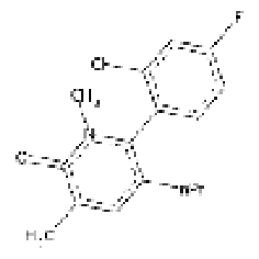 CCCc1cc(C)c(=O)n(C)c1-c1ccc(F)cc1Cl